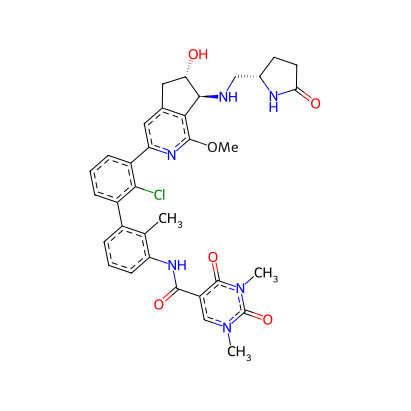 COc1nc(-c2cccc(-c3cccc(NC(=O)c4cn(C)c(=O)n(C)c4=O)c3C)c2Cl)cc2c1[C@H](NC[C@@H]1CCC(=O)N1)[C@@H](O)C2